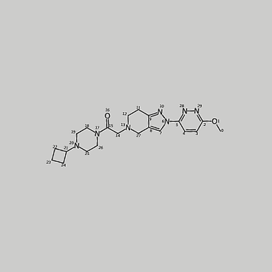 COc1ccc(-n2cc3c(n2)CCN(CC(=O)N2CCN(C4CCC4)CC2)C3)nn1